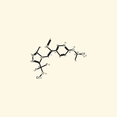 C=N/C(=C\n1c(C)nnc1C(F)(F)OCC)c1ccc(O[C@H](C)C(F)(F)F)nc1